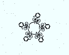 Cc1ccccc1S(=O)(=O)N1CCCN(S(=O)(=O)c2ccccc2C)CCN(S(=O)(=O)c2ccccc2C)CCN(S(=O)(=O)c2ccccc2C)CCN(S(=O)(=O)c2ccccc2C)CC1